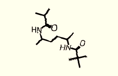 CC(CCC(C)NC(=O)C(C)(C)C)NC(=O)C(C)C